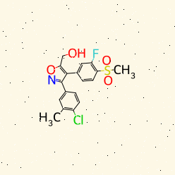 Cc1cc(-c2noc(CO)c2-c2ccc(S(C)(=O)=O)c(F)c2)ccc1Cl